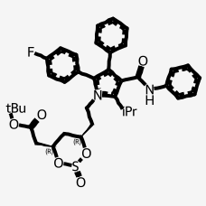 CC(C)c1c(C(=O)Nc2ccccc2)c(-c2ccccc2)c(-c2ccc(F)cc2)n1CC[C@@H]1C[C@H](CC(=O)OC(C)(C)C)OS(=O)O1